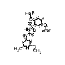 COc1nc(C)nc(NC(=O)NS(=O)(=O)c2cc(OC(F)F)ccc2OC(F)F)n1